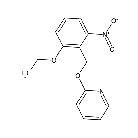 CCOc1cccc([N+](=O)[O-])c1COc1ccccn1